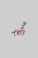 CCC=CCOC1OCCCC1OC(=O)C=C(C)C